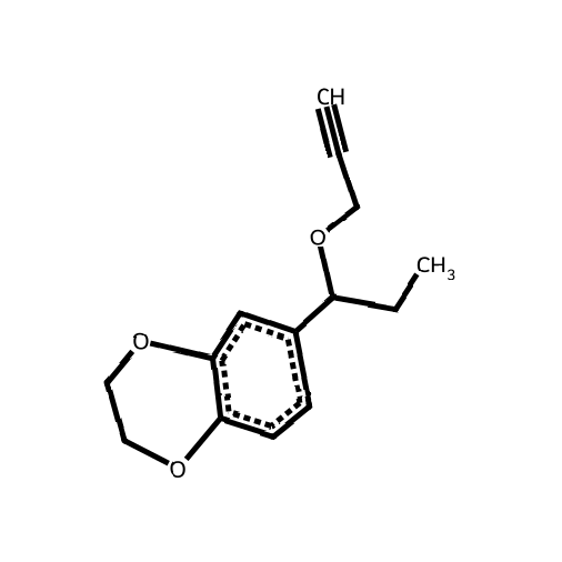 C#CCOC(CC)c1ccc2c(c1)OCCO2